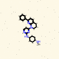 CC(C)N[C@H]1CC[C@H](Nc2nccc(N3CCCc4ccc(-c5ccccc5)nc43)n2)CC1